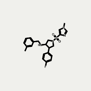 Cc1cccc(CNC2CN(S(=O)(=O)c3cn(C)cn3)CC2c2ccc(F)cc2)c1